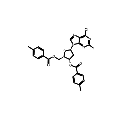 Cc1ccc(C(=O)OC[C@H]2O[C@@H](n3cnc4c(Cl)nc(I)nc43)C[C@@H]2OC(=O)c2ccc(C)cc2)cc1